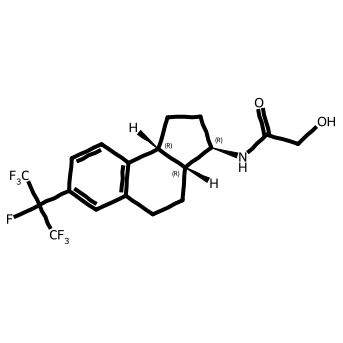 O=C(CO)N[C@@H]1CC[C@H]2c3ccc(C(F)(C(F)(F)F)C(F)(F)F)cc3CC[C@@H]12